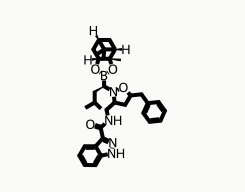 CC(C)C[C@@H](B1O[C@@H]2C[C@@H]3C[C@@H](C3(C)C)[C@]2(C)O1)N1OC(Cc2ccccc2)CC1CNC(=O)c1n[nH]c2ccccc12